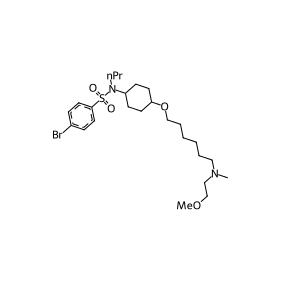 CCCN(C1CCC(OCCCCCCN(C)CCOC)CC1)S(=O)(=O)c1ccc(Br)cc1